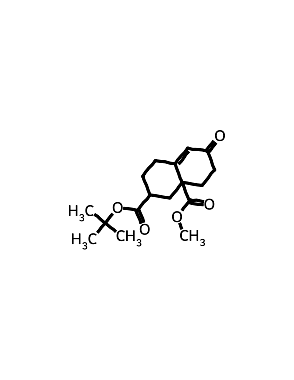 COC(=O)C12CCC(=O)C=C1CCC(C(=O)OC(C)(C)C)C2